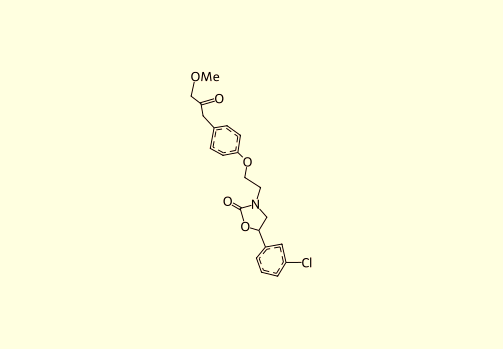 COCC(=O)Cc1ccc(OCCN2CC(c3cccc(Cl)c3)OC2=O)cc1